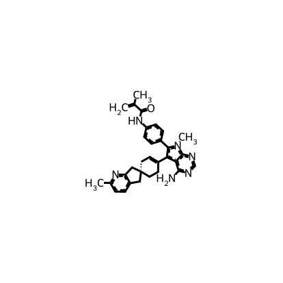 C=C(C)C(=O)Nc1ccc(-c2c(C3=CC[C@]4(CC3)Cc3ccc(C)nc3C4)c3c(N)ncnc3n2C)cc1